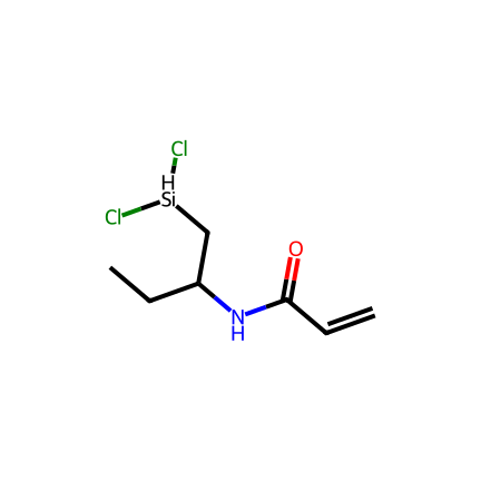 C=CC(=O)NC(CC)C[SiH](Cl)Cl